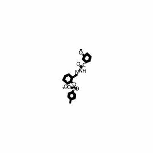 COc1cccc(CC(=O)NN=Cc2cccc(OC)c2OS(=O)(=O)c2ccc(C)cc2)c1